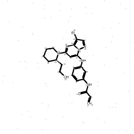 C=CC(=O)Nc1cccc(Nc2cc(N3CCCC[C@@H]3CCO)nc3c(CC)cnn23)c1